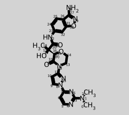 CN(C)c1nccc(-n2ccc(N3CCO[C@H](C(C)(O)C(=O)Nc4ccc5c(N)noc5c4)C3=O)n2)n1